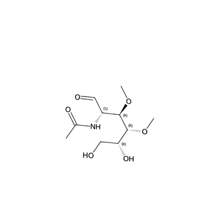 CO[C@@H]([C@H](OC)[C@@H](C=O)NC(C)=O)[C@H](O)CO